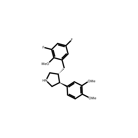 COc1ccc([C@H]2CNC[C@@H]2Cc2cc(F)cc(F)c2OC)cc1OC